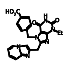 CCn1c(=O)[nH]c(=O)c2c1nc(Cc1cn3ccccc3n1)n2Cc1ccc(C(=O)O)cc1